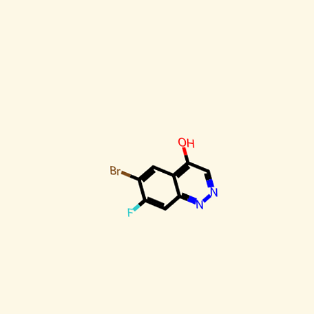 Oc1cnnc2cc(F)c(Br)cc12